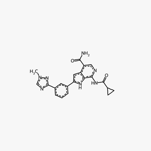 Cn1cnc(-c2cccc(-c3cc4c(C(N)=O)cnc(NC(=O)C5CC5)c4[nH]3)c2)n1